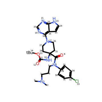 CN(C)CCCN(C(=O)C1(NC(=O)OC(C)(C)C)CCN(c2ncnc3[nH]ccc23)CC1)c1ccc(Cl)cc1